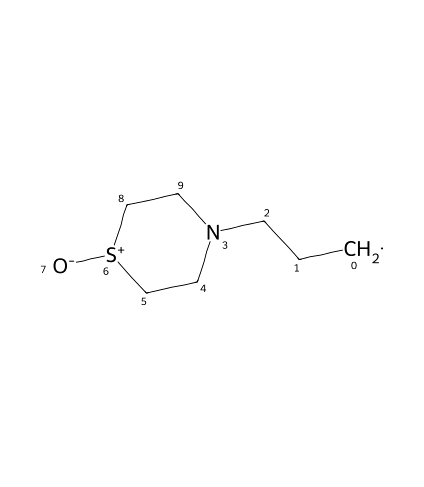 [CH2]CCN1CC[S+]([O-])CC1